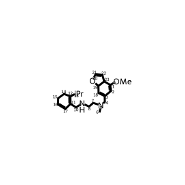 COC1=CC(CN(C)CCNCC2=C(C(C)C)CCC=C2)=CC2OC=CC12